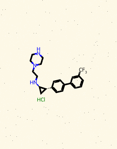 Cl.FC(F)(F)c1cccc(-c2ccc([C@@H]3C[C@H]3NCCN3CCNCC3)cc2)c1